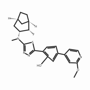 COc1cc(-c2ccc(-c3nnc(N(C)[C@@H]4C[C@H]5CC[C@H](C5)[C@@H]4F)s3)c(O)c2)ccn1